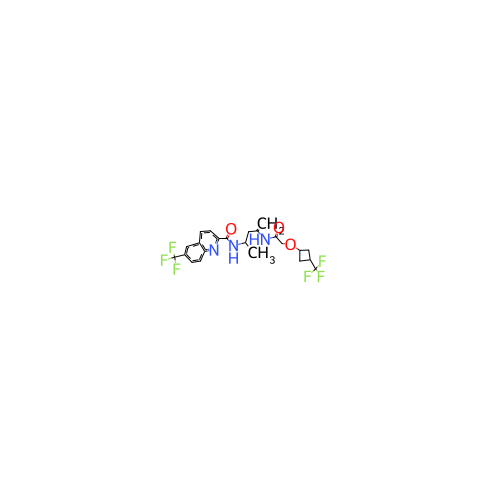 C=C(CC(C)NC(=O)c1ccc2cc(C(F)(F)F)ccc2n1)NC(=O)COC1CC(C(F)(F)F)C1